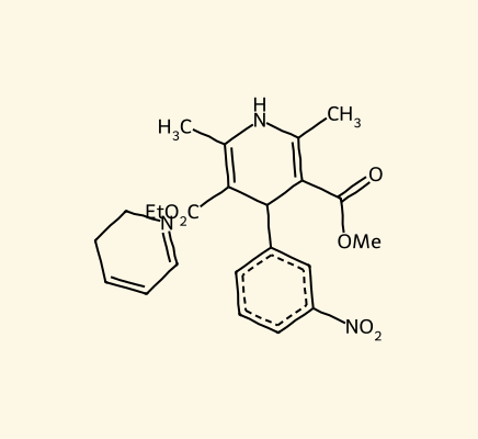 C1=CCCN=C1.CCOC(=O)C1=C(C)NC(C)=C(C(=O)OC)C1c1cccc([N+](=O)[O-])c1